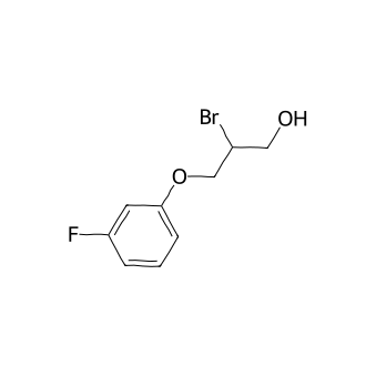 OCC(Br)COc1cccc(F)c1